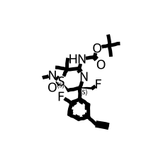 C#Cc1ccc(F)c([C@]2(CF)C[S@@](=O)(=NC)C(C)(C)C(NC(=O)OC(C)(C)C)=N2)c1